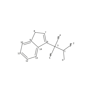 CC(F)C(F)(F)C1=CCc2ccccc21